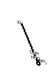 CCC=CCC=CCC=CCC=CCC=CCC=CCCC(=O)NCCNC(=O)CC1(CN)CCCCC1